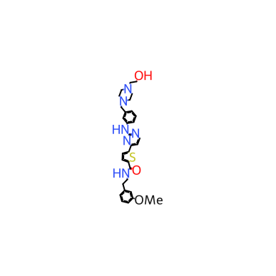 COc1cccc(CCNC(=O)c2ccc(-c3ccnc(Nc4cccc(CN5CCN(CCO)CC5)c4)n3)s2)c1